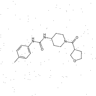 Cc1ccc(NC(=O)NC2CCN(C(=O)C3CCOC3)CC2)cc1